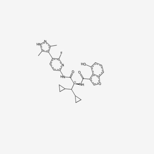 Cc1n[nH]c(C)c1-c1ccc(NC(=O)[C@@H](NC(=O)c2coc3cccc(O)c23)C(C2CC2)C2CC2)nc1F